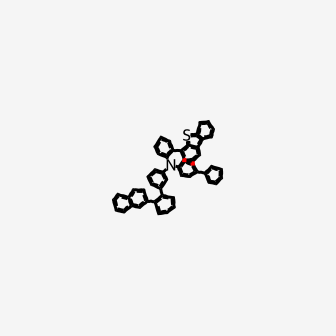 c1ccc(-c2ccc(N(c3cccc(-c4ccccc4-c4ccc5ccccc5c4)c3)c3ccccc3-c3cccc4c3sc3ccccc34)cc2)cc1